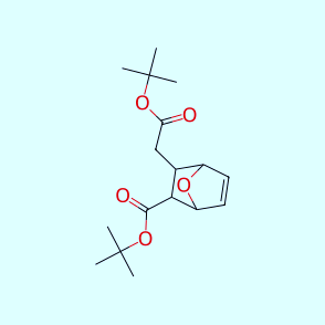 CC(C)(C)OC(=O)CC1C2C=CC(O2)C1C(=O)OC(C)(C)C